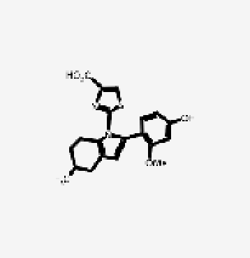 COc1cc(O)ccc1-c1cc2c(n1-c1nc(C(=O)O)cs1)CCC(C(F)(F)F)C2